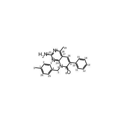 Cc1ccc(Cn2c(=O)c(-c3ccccc3)cc3c(C)nc(N)nc32)cc1